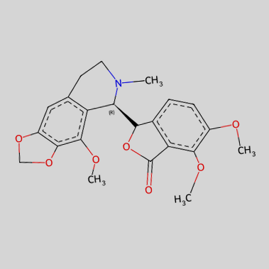 COc1ccc2c(c1OC)C(=O)OC2[C@H]1c2c(cc3c(c2OC)OCO3)CCN1C